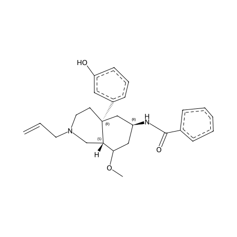 C=CCN1CC[C@@]2(c3cccc(O)c3)C[C@@H](NC(=O)c3ccccc3)CC(OC)[C@@H]2C1